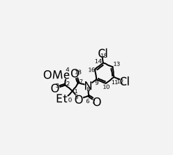 CCC1(C(=O)OC)OC(=O)N(c2cc(Cl)cc(Cl)c2)C1=O